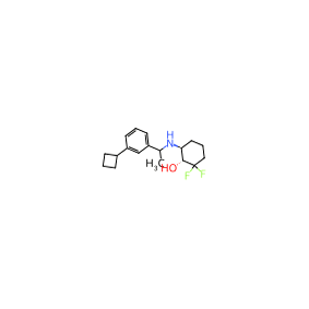 CC(N[C@H]1CCCC(F)(F)[C@@H]1O)c1cccc(C2CCC2)c1